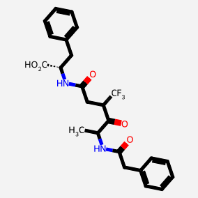 CC(NC(=O)Cc1ccccc1)C(=O)C(CC(=O)N[C@@H](Cc1ccccc1)C(=O)O)C(F)(F)F